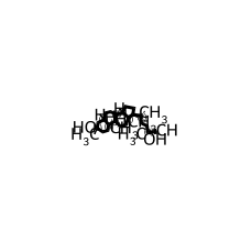 C#C[C@](C)(O)CC[C@@H](C)C1CC[C@H]2[C@@H]3CC[C@H]4C[C@@](C)(O)CC[C@]4(C)[C@H]3CC[C@]12C